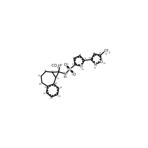 O=C(O)C1(NS(=O)(=O)c2ccc(-c3cc(C(F)(F)F)on3)o2)C2CCCc3ccccc3C21